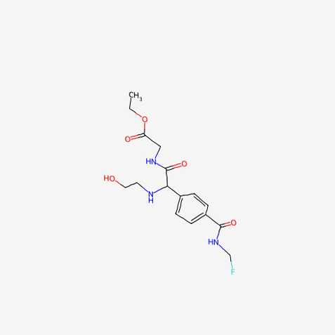 CCOC(=O)CNC(=O)C(NCCO)c1ccc(C(=O)NCF)cc1